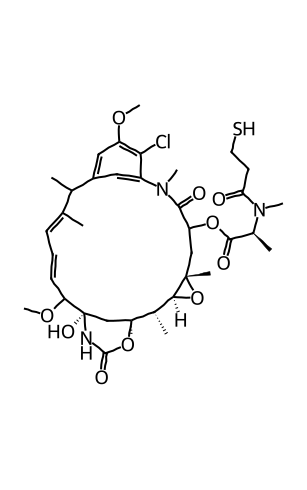 COc1cc2cc(c1Cl)N(C)C(=O)C(OC(=O)[C@H](C)N(C)C(=O)CCS)C[C@]1(C)O[C@H]1[C@H](C)[C@]1(C)C[C@@](O)(NC(=O)O1)C(OC)/C=C/C=C(\C)C2C